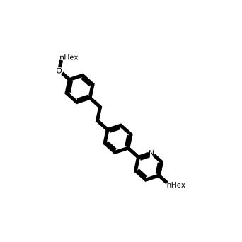 CCCCCCOc1ccc(CCc2ccc(-c3ccc(CCCCCC)cn3)cc2)cc1